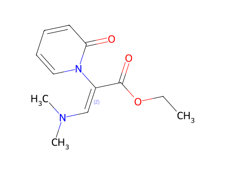 CCOC(=O)/C(=C/N(C)C)n1ccccc1=O